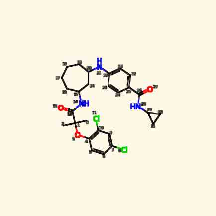 CC(C)(Oc1ccc(Cl)cc1Cl)C(=O)NC1CCCCC(Nc2ccc(C(=O)NC3CC3)cc2)C1